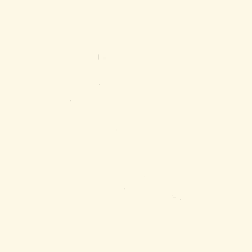 CCCC(=O)OSOC(=O)C(C)CC